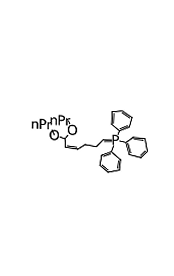 CCCOC(/C=C\CCC=P(c1ccccc1)(c1ccccc1)c1ccccc1)OCCC